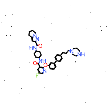 O=C(NC1CCC(NC(=O)c2cc(F)cnc2Oc2cccc(-c3ccc(CCCN4CCCNCC4)cc3)c2)CC1)c1cc2n(n1)CCCC2